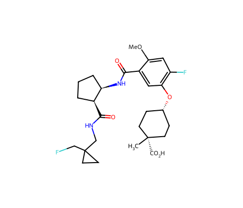 COc1cc(F)c(O[C@H]2CC[C@@](C)(C(=O)O)CC2)cc1C(=O)N[C@@H]1CCC[C@@H]1C(=O)NCC1(CF)CC1